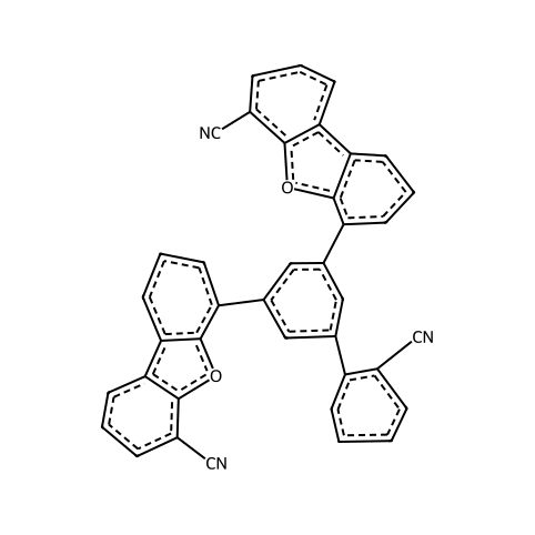 N#Cc1ccccc1-c1cc(-c2cccc3c2oc2c(C#N)cccc23)cc(-c2cccc3c2oc2c(C#N)cccc23)c1